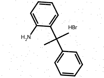 Br.CC(C)(c1ccccc1)c1ccccc1N